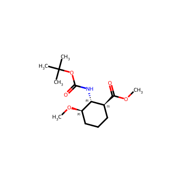 COC(=O)[C@H]1CCC[C@@H](OC)[C@@H]1NC(=O)OC(C)(C)C